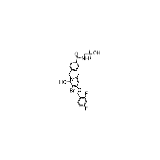 CC1=CC(OCc2ccc(F)cc2F)=C(Br)C(O)N1Cc1ccc(C(=O)NCC(C)(C)O)cc1